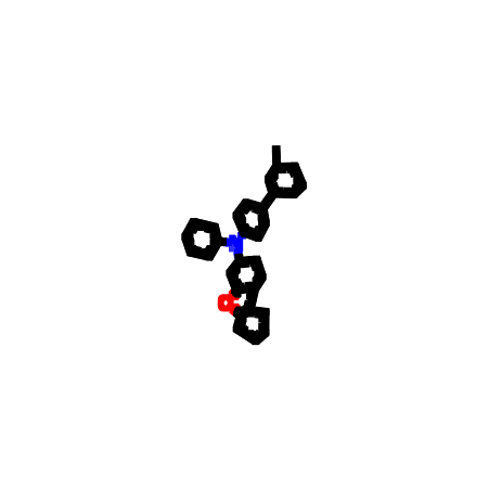 Cc1cccc(-c2ccc(N(c3ccccc3)c3ccc4c(c3)oc3ccccc34)cc2)c1